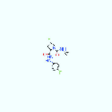 O=C(NNc1ccc(F)cc1)C1CC(F)CN1C(=O)NC1CC1